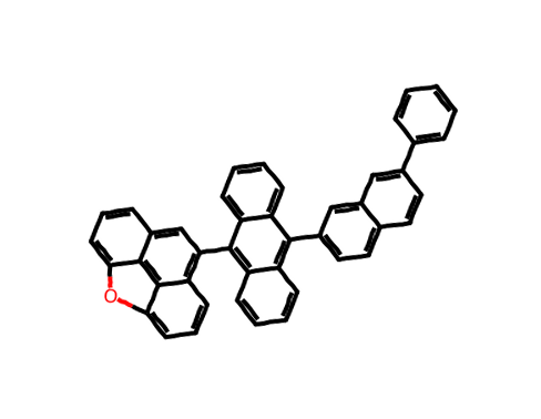 c1ccc(-c2ccc3ccc(-c4c5ccccc5c(-c5cc6cccc7oc8cccc5c8c67)c5ccccc45)cc3c2)cc1